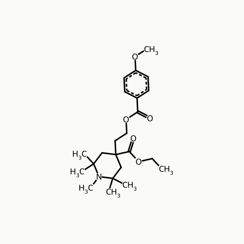 CCOC(=O)C1(CCOC(=O)c2ccc(OC)cc2)CC(C)(C)N(C)C(C)(C)C1